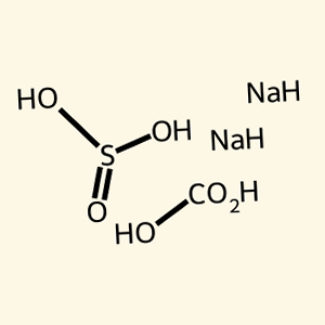 O=C(O)O.O=S(O)O.[NaH].[NaH]